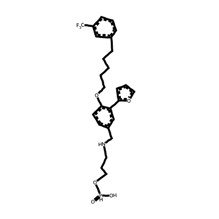 O=[PH](O)OCCCNCc1ccc(OCCCCCc2cccc(C(F)(F)F)c2)c(-c2ccco2)c1